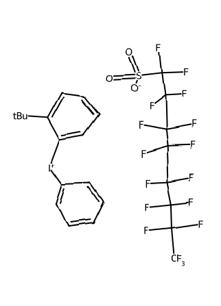 CC(C)(C)c1ccccc1[I+]c1ccccc1.O=S(=O)([O-])C(F)(F)C(F)(F)C(F)(F)C(F)(F)C(F)(F)C(F)(F)C(F)(F)C(F)(F)F